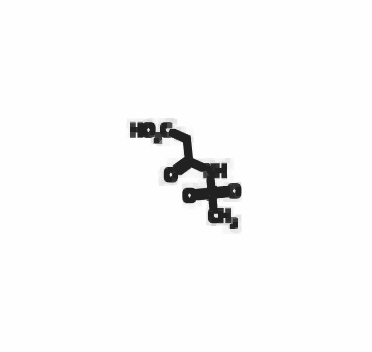 CS(=O)(=O)NC(=O)CC(=O)O